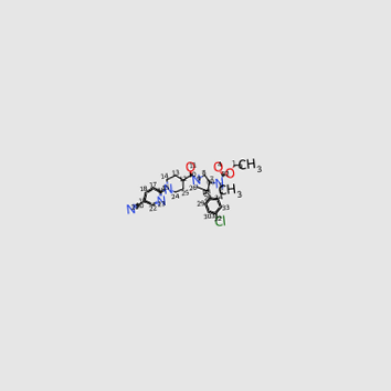 CCOC(=O)N(C)[C@@H]1CN(C(=O)C2CCN(c3ccc(C#N)cn3)CC2)C[C@H]1c1ccc(Cl)cc1